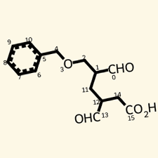 O=CC(COCc1ccccc1)CC(C=O)CC(=O)O